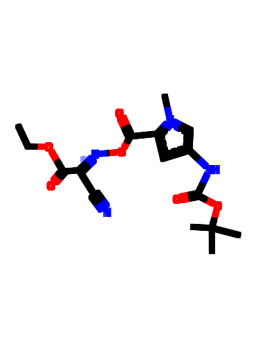 CCOC(=O)/C(C#N)=N/OC(=O)c1cc(NC(=O)OC(C)(C)C)cn1C